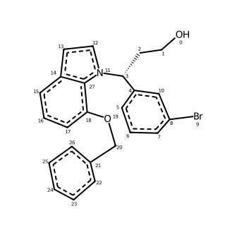 OCC[C@H](c1cccc(Br)c1)n1ccc2cccc(OCc3ccccc3)c21